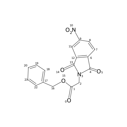 O=C(CN1C(=O)c2ccc([N+](=O)[O-])cc2C1=O)OCc1ccccc1